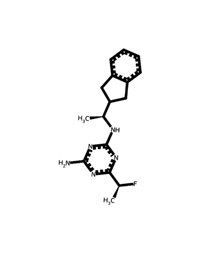 C[C@H](F)c1nc(N)nc(N[C@@H](C)C2Cc3ccccc3C2)n1